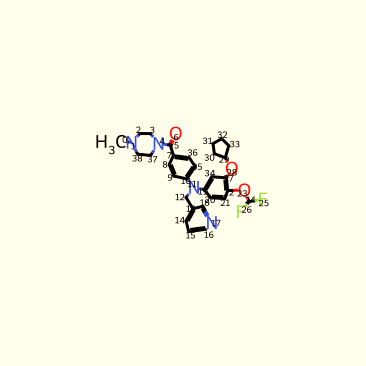 CN1CCN(C(=O)c2ccc(N(Cc3cccnc3)c3ccc(OC(F)F)c(OC4CCCC4)c3)cc2)CC1